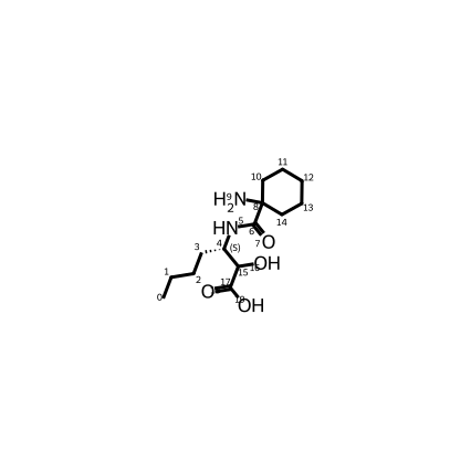 CCCC[C@H](NC(=O)C1(N)CCCCC1)C(O)C(=O)O